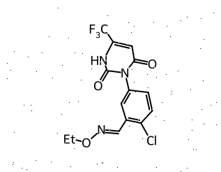 CCO/N=C/c1cc(-n2c(=O)cc(C(F)(F)F)[nH]c2=O)ccc1Cl